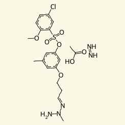 CC(=O)O.COc1ccc(Cl)cc1S(=O)(=O)Oc1cc(C)cc(OCCC=NN(C)N)c1.N=N